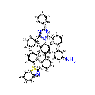 Nc1cccc(-c2cccc(-c3nc(-c4ccccc4)nc(-c4cccc(-c5ccccc5-c5ccccc5-c5cccc(-c6nc7ccccc7s6)c5)c4)n3)c2)c1